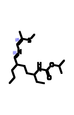 CCCC(/C=N/C=C(/C)SC)CCC(CC)NC(=O)OC(C)C